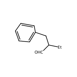 CCC(C=O)Cc1ccccc1